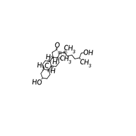 CC(CO)CCC[C@@H](C)[C@H]1C(=O)C[C@H]2[C@@H]3CC=C4CC(O)CC[C@]4(C)[C@H]3CC[C@]12C